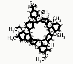 CCOc1cc(O)c2cc1C(c1ccc(C)cc1C)c1cc(c(O)cc1O)C(c1ccc(OC)c(F)c1)c1cc(c(OC)cc1O)C(c1ccccc1)c1cc(c(OC)cc1OC)C2c1ccc(C(F)(F)F)cc1